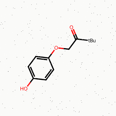 CC(C)(C)C(=O)COc1ccc(O)cc1